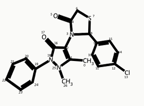 Cc1c(N2C(=O)CSC2c2ccc(Cl)cc2)c(=O)n(-c2ccccc2)n1C